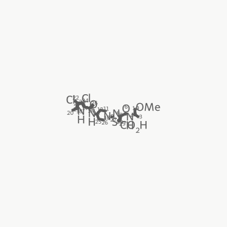 COCC(C)NC(=O)c1nc(N2CCC(NC(=O)c3[nH]c(C)c(Cl)c3Cl)CC2)sc1C(=O)O